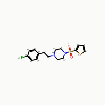 O=S(=O)(c1cccs1)N1CCN(CCc2ccc(F)cc2)CC1